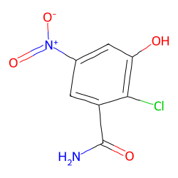 NC(=O)c1cc([N+](=O)[O-])cc(O)c1Cl